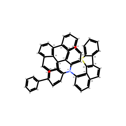 c1ccc(-c2ccc(N(c3ccccc3-c3cccc4cccc(-c5ccccc5)c34)c3cccc4ccc5c6ccccc6sc5c34)cc2)cc1